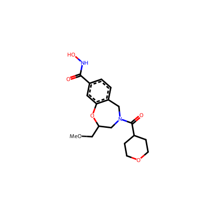 COCC1CN(C(=O)C2CCOCC2)Cc2ccc(C(=O)NO)cc2O1